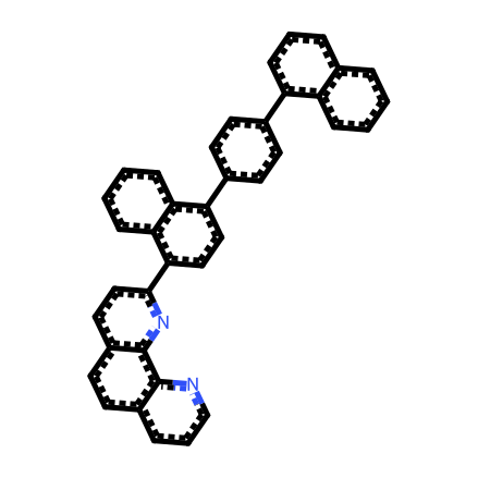 c1ccc2c(-c3ccc(-c4ccc(-c5ccc6ccc7cccnc7c6n5)c5ccccc45)cc3)cccc2c1